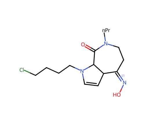 CCCN1CC/C(=N/O)C2C=CN(CCCCCl)C2C1=O